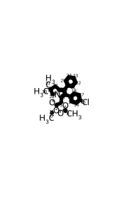 CCOC(=O)C(OC(C)=O)c1c(-c2ccc(Cl)cc2)c(-c2ccccc2)c2n1CC(C)(C)C2